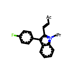 CC(=O)C=Cc1c(-c2ccc(F)cc2)c2ccccc2n1C(C)C